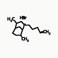 Br.C=CCCCP1CC(C)C2CCC(C)C1C2